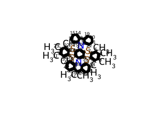 Cc1c(C)c(C)c2sc3c(-n4c5c(c6ccccc64)=CCCC=5)c4sc5c(C)c(C)c(C)c(C)c5sc4c(N4c5ccccc5C(C)(C)c5ccccc54)c3sc2c1C